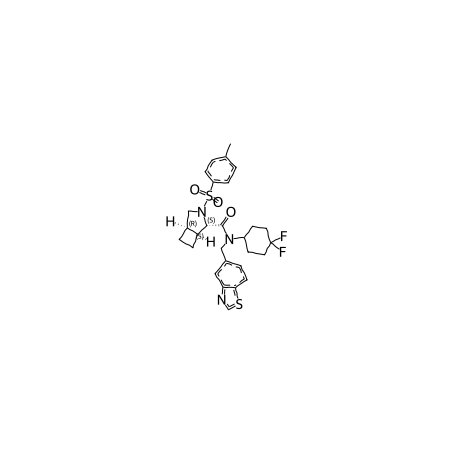 Cc1ccc(S(=O)(=O)N2C[C@@H]3CC[C@@H]3[C@H]2C(=O)N(Cc2ccc3scnc3c2)C2CCC(F)(F)CC2)cc1